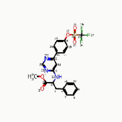 COC(=O)C(Cc1ccccc1)Nc1cc(-c2ccc(OS(=O)(=O)C(F)(F)F)cc2)ncn1